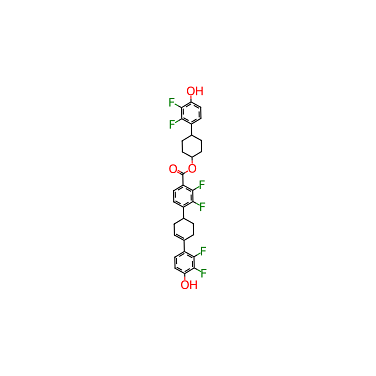 O=C(OC1CCC(c2ccc(O)c(F)c2F)CC1)c1ccc(C2CC=C(c3ccc(O)c(F)c3F)CC2)c(F)c1F